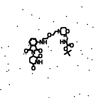 CC(C)(C)OC(=O)NC[C@@H]1CN(CCOCCNc2cccc3c2C(=O)N(C2CCC(=O)NC2=O)C3=O)CCO1